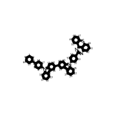 c1ccc(-c2ccc(-n3c4ccccc4c4cc(-c5ccc6c(c5)c5ccccc5n6-c5ccc(-c6nc7c8c(cccc8n6)Sc6ccccc6-7)cc5)ccc43)cc2)cc1